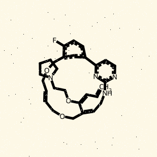 C=C/C=C(OCCN1CCCC1)\C1=C/CNc2nccc(n2)-c2ccc(F)c(c2)COC/C=C/COC1